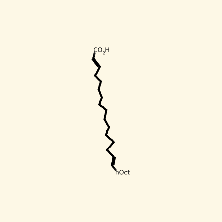 CCCCCCCCC=CCCCCCCCCCCCC=CC(=O)O